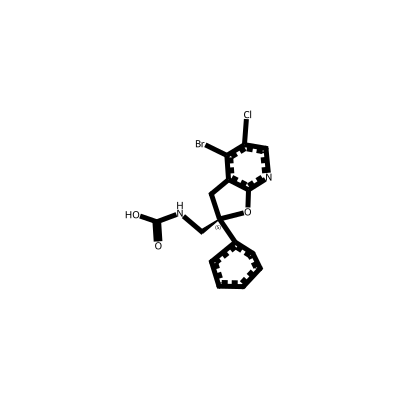 O=C(O)NC[C@@]1(c2ccccc2)Cc2c(ncc(Cl)c2Br)O1